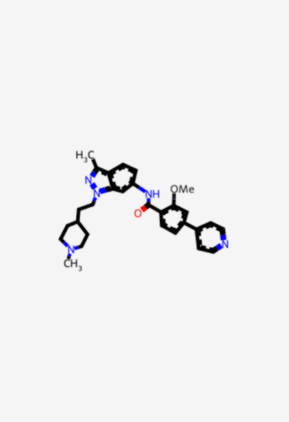 COc1cc(-c2ccncc2)ccc1C(=O)Nc1ccc2c(C)nn(CCC3CCN(C)CC3)c2c1